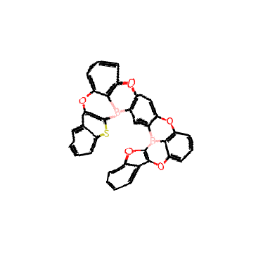 c1cc2c3c(c1)Oc1c(oc4ccccc14)B3c1cc3c(cc1O2)Oc1cccc2c1B3c1sc3ccccc3c1O2